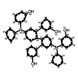 Oc1cccc(-c2cc(N(c3ccccc3)c3cccc(O)c3)ccc2-c2ccc(N(c3ccccc3)c3cccc(O)c3)cc2-c2cccc(O)c2)c1